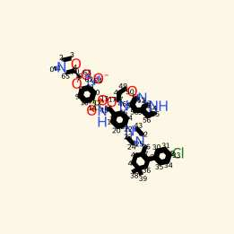 CN1CCO[C@@H](COc2ccc(S(=O)(=O)NC(=O)c3ccc(N4CCN(CC5=C(c6ccc(Cl)cc6)CC(C)(C)CC5)CC4)cc3N3CCCOc4nc5[nH]ccc5cc43)cc2[N+](=O)[O-])C1